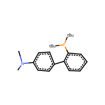 CN(C)c1ccc(-c2ccccc2P(C(C)(C)C)C(C)(C)C)cc1